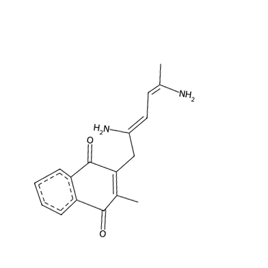 CC1=C(C/C(N)=C/C=C(/C)N)C(=O)c2ccccc2C1=O